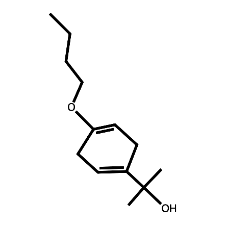 CCCCOC1=CCC(C(C)(C)O)=CC1